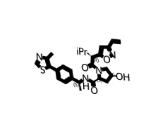 C=Cc1cc([C@H](C(=O)N2C[C@H](O)C[C@H]2C(=O)N[C@@H](C)c2ccc(-c3scnc3C)cc2)C(C)C)on1